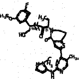 C=C[C@@H](C(=O)N[C@H](CO)c1cc(F)cc(OC)c1)N1CCc2sc(-c3nc(Nc4ccnn4C)ncc3C)cc2C1=O